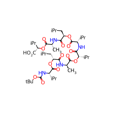 CC(C)C[C@@H](OC(=O)[C@@H](NC(=O)OC(C)(C)C)C(C)C)C(=O)N[C@H](C)C(=O)O[C@H](C(=O)N[C@H](C(=O)O[C@H](CC(C)C)C(=O)N[C@H](C)C(=O)O[C@H](C(=O)O)C(C)C)C(C)C)C(C)C